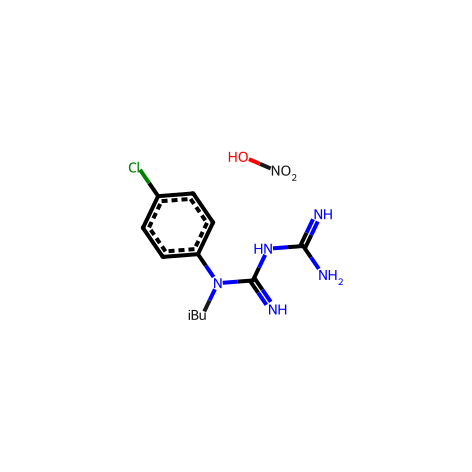 CCC(C)N(C(=N)NC(=N)N)c1ccc(Cl)cc1.O=[N+]([O-])O